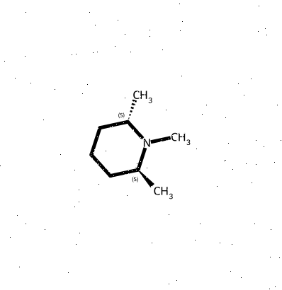 C[C@H]1CCC[C@H](C)N1C